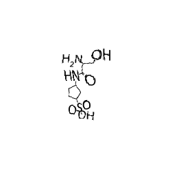 N[C@@H](CO)C(=O)NC1CCC(S(=O)(=O)O)C1